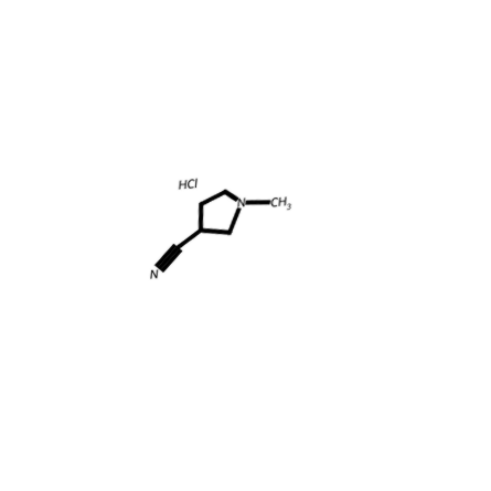 CN1CCC(C#N)C1.Cl